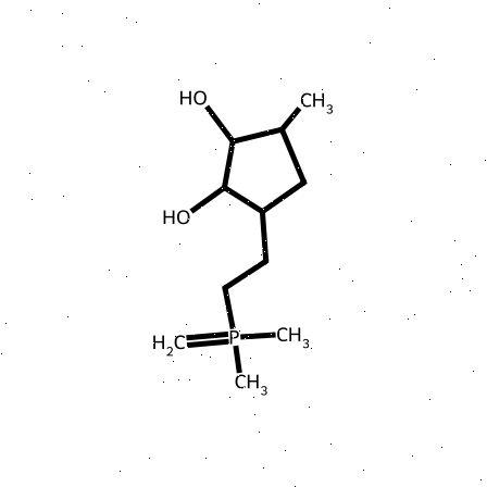 C=P(C)(C)CCC1CC(C)C(O)C1O